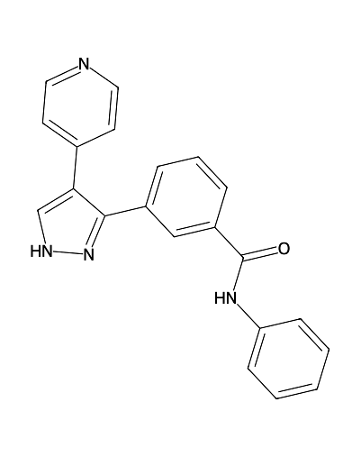 O=C(Nc1ccccc1)c1cccc(-c2n[nH]cc2-c2ccncc2)c1